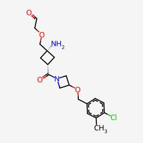 Cc1cc(COC2CN(C(=O)[C@H]3C[C@](N)(COCC=O)C3)C2)ccc1Cl